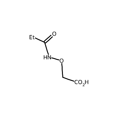 CCC(=O)NOCC(=O)O